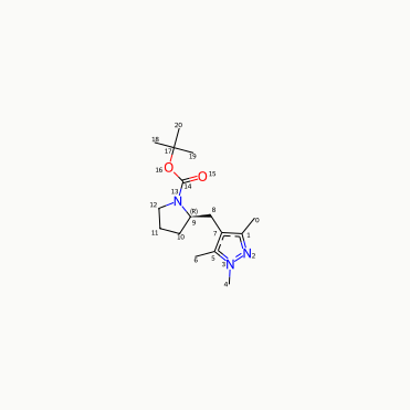 Cc1nn(C)c(C)c1C[C@H]1CCCN1C(=O)OC(C)(C)C